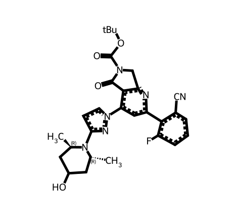 C[C@@H]1CC(O)C[C@@H](C)N1c1ccn(-c2cc(-c3c(F)cccc3C#N)nc3c2C(=O)N(C(=O)OC(C)(C)C)C3)n1